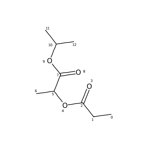 CCC(=O)OC(C)C(=O)OC(C)C